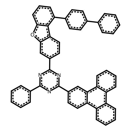 c1ccc(-c2ccc(-c3cccc4oc5cc(-c6nc(-c7ccccc7)nc(-c7ccc8c9ccccc9c9ccccc9c8c7)n6)ccc5c34)cc2)cc1